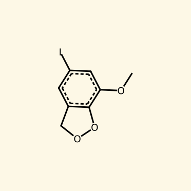 COc1cc(I)cc2c1OOC2